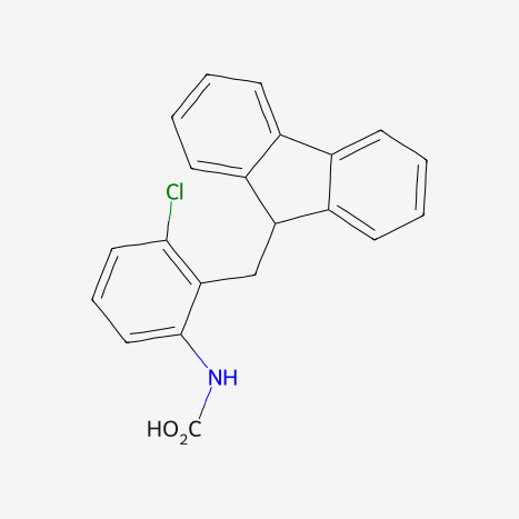 O=C(O)Nc1cccc(Cl)c1CC1c2ccccc2-c2ccccc21